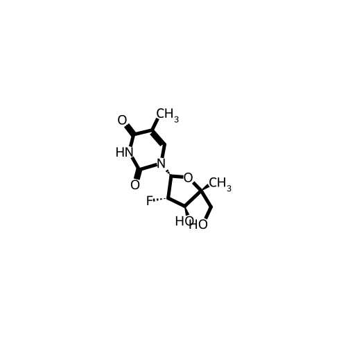 Cc1cn([C@@H]2O[C@](C)(CO)[C@@H](O)[C@@H]2F)c(=O)[nH]c1=O